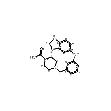 O=C(O)N1CCN(Cc2cccc(Oc3ccc4c(c3)OCO4)c2)CC1